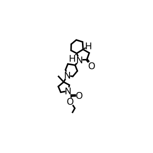 CCOC(=O)N1CCC(C)(N2CCC(N3C(=O)C[C@H]4CCCC[C@@H]43)CC2)C1